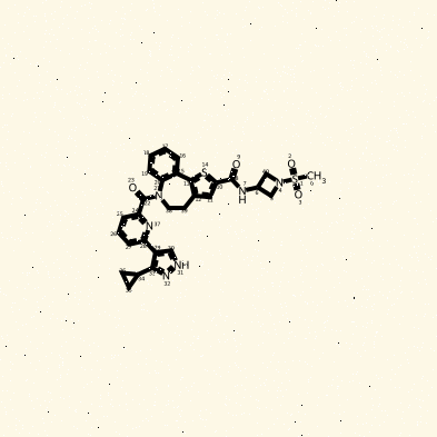 CS(=O)(=O)N1CC(NC(=O)c2cc3c(s2)-c2ccccc2N(C(=O)c2cccc(-c4c[nH]nc4C4CC4)n2)CC3)C1